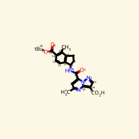 Cc1cc(C(=O)NC2CCc3c2ccc(C(=O)OC(C)(C)C)c3C)n2ncc(C(=O)O)c2n1